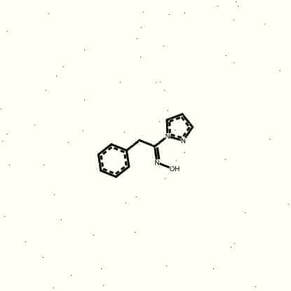 ON=C(Cc1ccccc1)n1cccn1